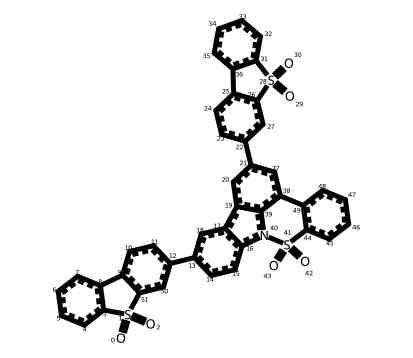 O=S1(=O)c2ccccc2-c2ccc(-c3ccc4c(c3)c3cc(-c5ccc6c(c5)S(=O)(=O)c5ccccc5-6)cc5c3n4S(=O)(=O)c3ccccc3-5)cc21